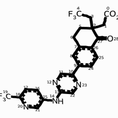 CCOC(=O)CC1(CC(F)(F)F)CCc2cc(-c3cnc(Nc4ccc(C(F)(F)F)nc4)cn3)ccc2C1=O